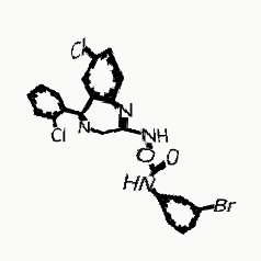 O=C(Nc1cccc(Br)c1)ONC1=Nc2ccc(Cl)cc2C(c2ccccc2Cl)=NC1